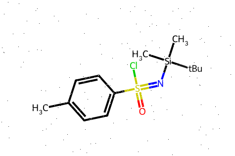 Cc1ccc(S(=O)(Cl)=N[Si](C)(C)C(C)(C)C)cc1